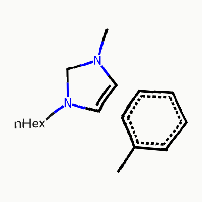 CCCCCCN1C=CN(C)C1.Cc1ccccc1